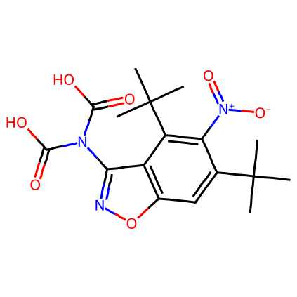 CC(C)(C)c1cc2onc(N(C(=O)O)C(=O)O)c2c(C(C)(C)C)c1[N+](=O)[O-]